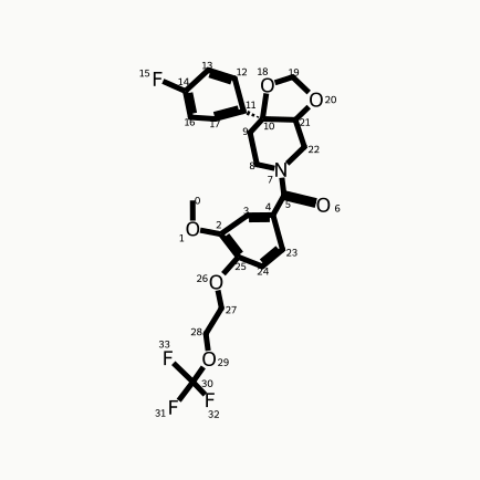 COc1cc(C(=O)N2CC[C@@]3(c4ccc(F)cc4)OCOC3C2)ccc1OCCOC(F)(F)F